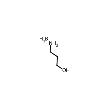 B.NCCCO